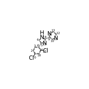 Clc1ccc(-c2c[nH]c(-c3cnccn3)n2)c(Cl)c1